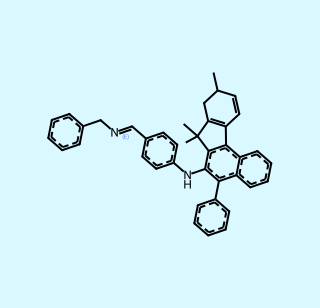 CC1C=CC2=C(C1)C(C)(C)c1c(Nc3ccc(/C=N/Cc4ccccc4)cc3)c(-c3ccccc3)c3ccccc3c12